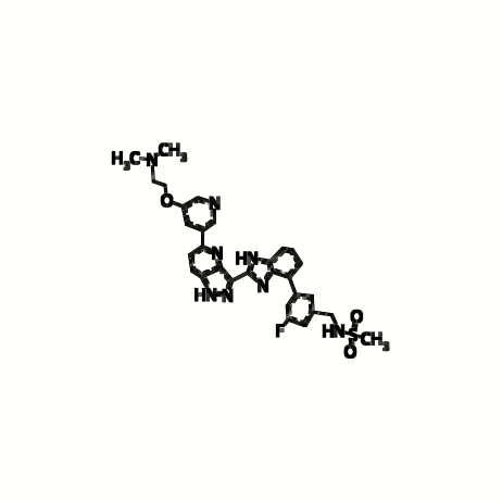 CN(C)CCOc1cncc(-c2ccc3[nH]nc(-c4nc5c(-c6cc(F)cc(CNS(C)(=O)=O)c6)cccc5[nH]4)c3n2)c1